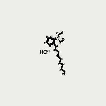 CCCCCCCCCCc1ccccc1N(CC)CC.Cl